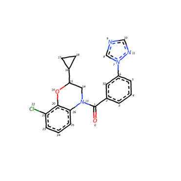 O=C(c1cccc(-n2cncn2)c1)N1CC(C2CC2)Oc2c(Cl)cccc21